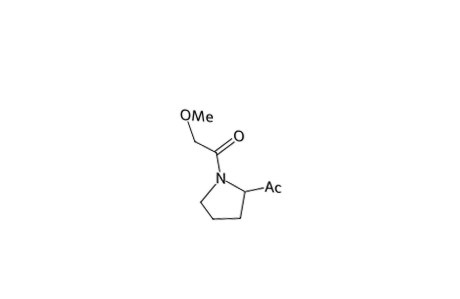 COCC(=O)N1CCCC1C(C)=O